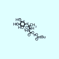 CC(C)(C)C(=O)OCOC(=O)NNC(C)(Cc1ccc(O)c(O)c1)C(=O)O